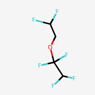 F[C](F)COC(F)(F)C(F)F